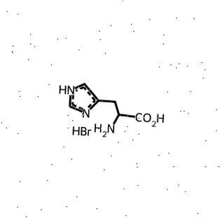 Br.NC(Cc1c[nH]cn1)C(=O)O